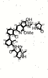 COc1nc(-c2cccc(-c3cccc(NC(=O)C4=CCNN(C)C4=O)c3C)c2Cl)cc2c1[C@@H](NC[C@@H]1CCC(=O)N1)[C@H](O)C2